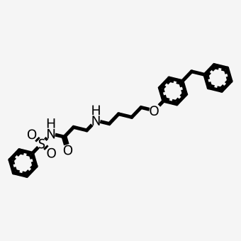 O=C(CCNCCCCOc1ccc(Cc2ccccc2)cc1)NS(=O)(=O)c1ccccc1